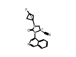 N#C[C@@H]1CN(C23CC(F)(C2)C3)C(=O)N1c1cncc2ccccc12